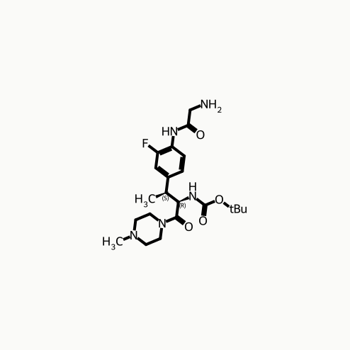 C[C@@H](c1ccc(NC(=O)CN)c(F)c1)[C@@H](NC(=O)OC(C)(C)C)C(=O)N1CCN(C)CC1